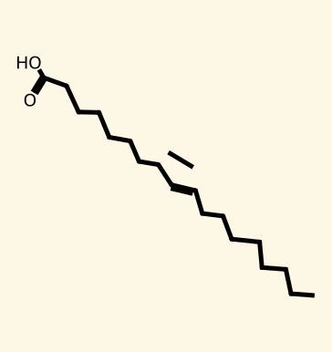 CC.CCCCCCCCC=CCCCCCCCC(=O)O